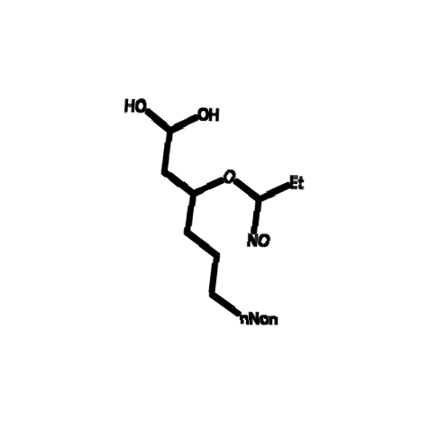 CCCCCCCCCCCCC(CC(O)O)OC(CC)N=O